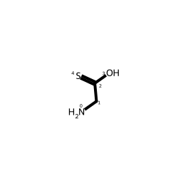 NCC(O)=S